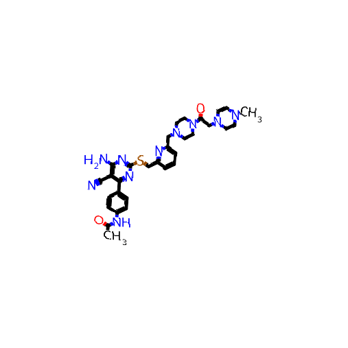 CC(=O)Nc1ccc(-c2nc(SCc3cccc(CN4CCN(C(=O)CN5CCN(C)CC5)CC4)n3)nc(N)c2C#N)cc1